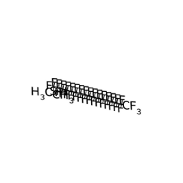 C[SiH](C)C(F)(F)C(F)(F)C(F)(F)C(F)(F)C(F)(F)C(F)(F)C(F)(F)C(F)(F)C(F)(F)C(F)(F)C(F)(F)C(F)(F)C(F)(F)C(F)(F)C(F)(F)C(F)(F)C(F)(F)F